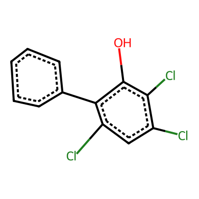 Oc1c(Cl)c(Cl)cc(Cl)c1-c1ccccc1